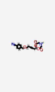 CN1CC(=O)OB(CC#CCCOCc2ccc(C#N)cc2)OC(=O)C1